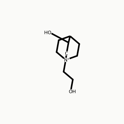 OCC[N+]12CCC(CC1)C(O)C2